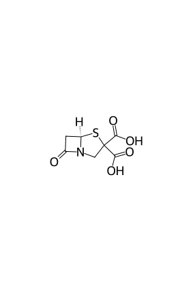 O=C1C[C@H]2SC(C(=O)O)(C(=O)O)CN12